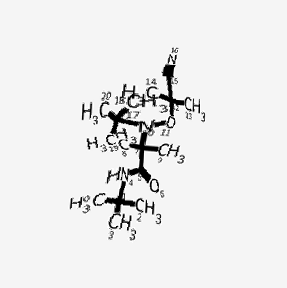 CC(C)(C)NC(=O)C(C)(C)N(OC(C)(C)C#N)C(C)(C)C